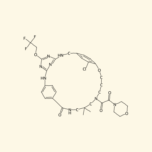 CC1(C)CNC(=O)c2ccc(cc2)Nc2nc(nc(OCC(F)(F)F)n2)NCc2ccc(c(Cl)c2)OCCCN(C(=O)C(=O)N2CCOCC2)C1